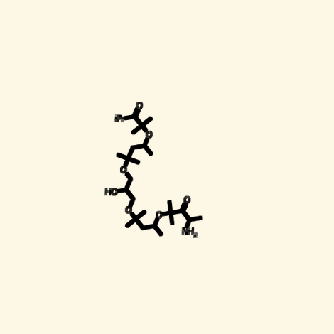 CC(CC(C)(C)OCC(O)COC(C)(C)CC(C)OC(C)(C)C(=O)C(C)N)OC(C)(C)C(=O)C(C)C